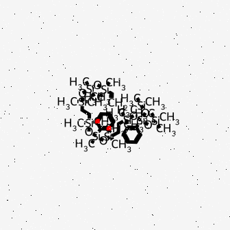 C=C[Si](C)(C)O[Si](C)(C)O[Si](C)(C)CC[Si](C)(C)O[Si](C)(O[Si](C)(C)CC[Si](C)(C)O[Si](O[Si](C)(C)C)(O[Si](C)(C)C)c1ccccc1)c1ccccc1